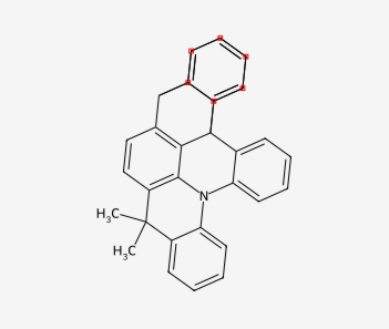 CC1(C)c2ccccc2N2c3ccccc3C34c5ccccc5C(c5ccccc53)c3ccc1c2c34